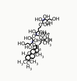 COC1OC(C(C)(C)O)CC[C@H]([C@H]2CC[C@@]3(C)C4CC=C5C(CC[C@H](C)C5(C)C)[C@]4(C)CC[C@]23C)O/C(C(O)CCO)=C(\O)C(O)O/C1=C(\O)C(O)CCOC(O)/C(O)=C(/O)C(O)CCO